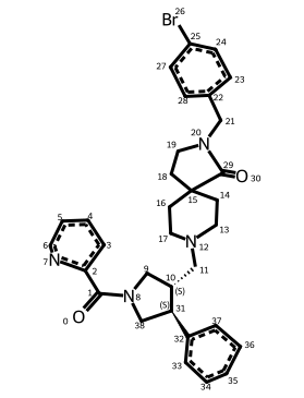 O=C(c1ccccn1)N1C[C@H](CN2CCC3(CC2)CCN(Cc2ccc(Br)cc2)C3=O)[C@@H](c2ccccc2)C1